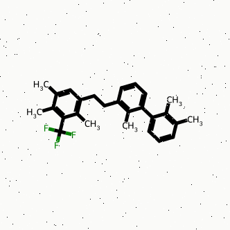 Cc1cccc(-c2cccc(CCc3cc(C)c(C)c(C(F)(F)F)c3C)c2C)c1C